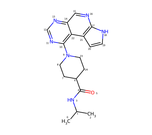 CC(C)NC(=O)C1CCN(c2ncnc3cnc4[nH]ccc4c23)CC1